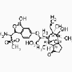 C=C[C@]1(C)C[C@@H](C(Oc2ccc3c(c2)B(O)OC3C(N)S(C)(=O)=O)C(=O)O)[C@@]2(C)[C@H](C)CC[C@]3(CCC(=O)[C@H]32)[C@@H](C)[C@@H]1O